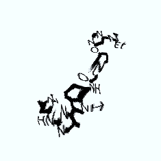 CCN(C)c1cc(OC2CCN(CC(=O)Nc3cccc4c(-c5nc(Nc6cc(C)n(C)n6)ncc5C)c[nH]c34)C2)ncn1